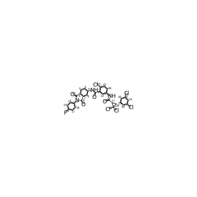 O=C(Nc1ccc2c(c1)C(=O)N(c1ccc(F)cc1)C2=O)c1cc(NC(=O)[C@H]2[C@H](c3cc(Cl)cc(Cl)c3)C2(Cl)Cl)ccc1Cl